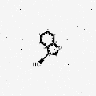 C#Cc1csc2ccccc12